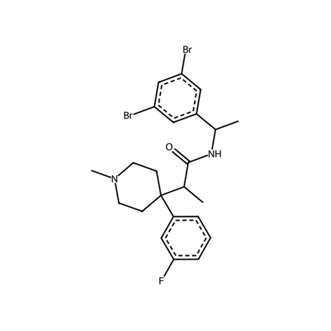 CC(NC(=O)C(C)C1(c2cccc(F)c2)CCN(C)CC1)c1cc(Br)cc(Br)c1